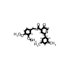 COc1ccc(CNC(=O)c2cc(-c3cc(C)cc(C)c3)nnc2Cl)cc1OC